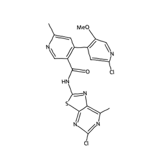 COc1cnc(Cl)cc1-c1cc(C)ncc1C(=O)Nc1nc2c(C)nc(Cl)nc2s1